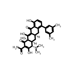 Cc1cc(C)cc(-c2ccc(O)c3c2C[C@H]2C[C@H]4[C@H](N(C)C)C(O)=C(C(N)=O)C(=O)[C@@]4(O)C(O)=C2C3=O)c1